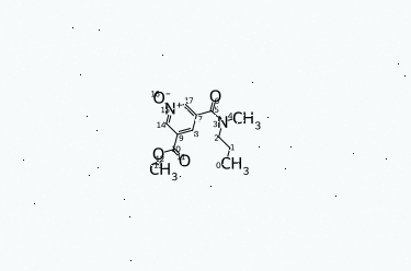 CCCN(C)C(=O)c1cc(C(=O)OC)c[n+]([O-])c1